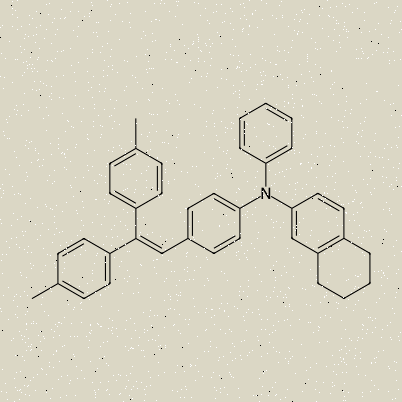 Cc1ccc(C(=Cc2ccc(N(c3ccccc3)c3ccc4c(c3)CCCC4)cc2)c2ccc(C)cc2)cc1